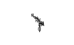 CCOCCOCC(NC(=O)OC(C)(C)C)NC(=O)c1csc(N2CCN(Cc3cc(C)ccc3C)CC2)n1